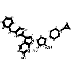 O[C@@H]1[C@H](O)[C@@H](C2CCN(C3CC3)CC2)C[C@H]1n1cc(-c2nc(Cc3ccccc3)cs2)c2cnc(Cl)nc21